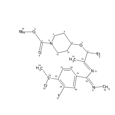 CCC(OC1CCN(C(=O)OC(C)(C)C)CC1)/C(C)=N/C(=N\C)c1ccc([S+](C)[O-])c(F)c1